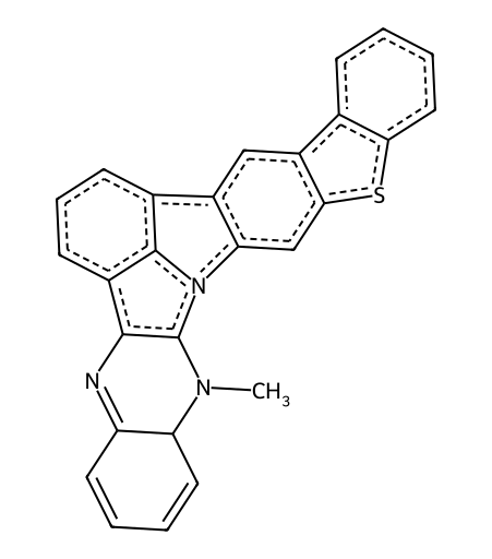 CN1c2c(c3cccc4c5cc6c(cc5n2c34)sc2ccccc26)N=C2C=CC=CC21